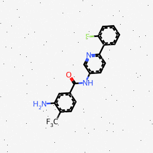 Nc1cc(C(=O)Nc2ccc(-c3ccccc3F)nc2)ccc1C(F)(F)F